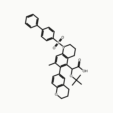 Cc1cc2c(c(C(OC(C)(C)C)C(=O)O)c1-c1ccc3c(c1)CCCO3)CCCN2S(=O)(=O)c1ccc(-c2ccccc2)cc1